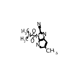 Cc1cnc2c(c1)nc(C#N)n2S(=O)(=O)N(C)C